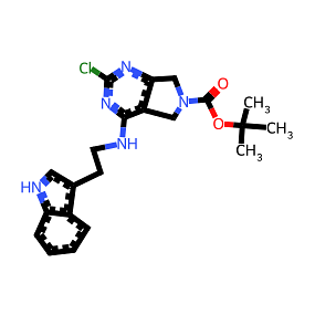 CC(C)(C)OC(=O)N1Cc2nc(Cl)nc(NCCc3c[nH]c4ccccc34)c2C1